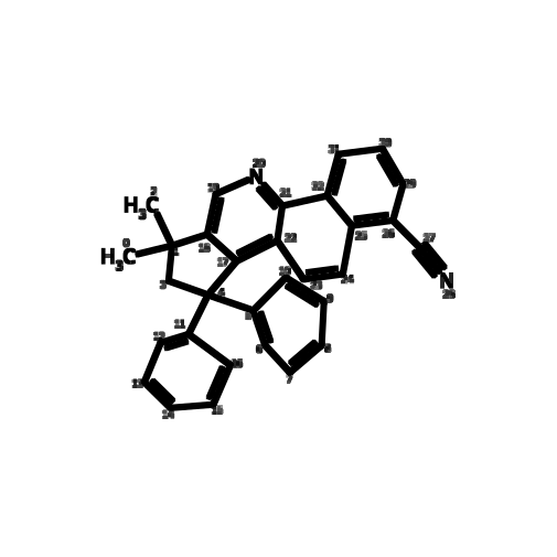 CC1(C)CC(c2ccccc2)(c2ccccc2)c2c1cnc1c2ccc2c(C#N)cccc21